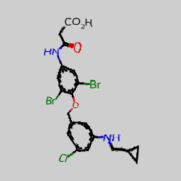 O=C(O)CC(=O)Nc1cc(Br)c(OCc2cc(Cl)cc(NCC3CC3)c2)c(Br)c1